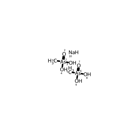 C[As](=O)(O)O.C[As](=O)(O)O.[NaH]